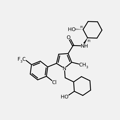 Cc1c(C(=O)N[C@@H]2CCCC[C@H]2O)cc(-c2cc(C(F)(F)F)ccc2Cl)n1CC1CCCCC1O